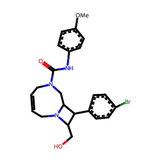 COc1ccc(NC(=O)N2CC=CCN3C(CO)C(c4ccc(Br)cc4)C3C2)cc1